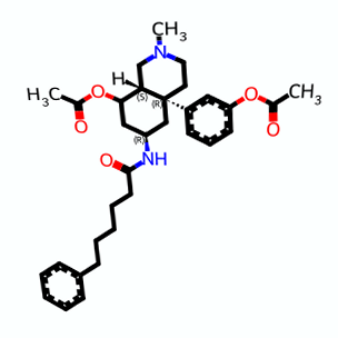 CC(=O)Oc1cccc([C@@]23CCN(C)C[C@H]2C(OC(C)=O)C[C@H](NC(=O)CCCCCc2ccccc2)C3)c1